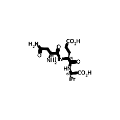 CC(C)[C@H](NC(=O)[C@H](CCC(=O)O)NC(=O)[C@@H](N)CC(N)=O)C(=O)O